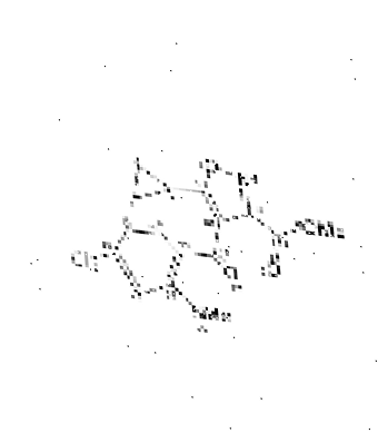 COC(=O)c1noc(C2CC2)c1C(=O)c1ccc(Cl)cc1SC